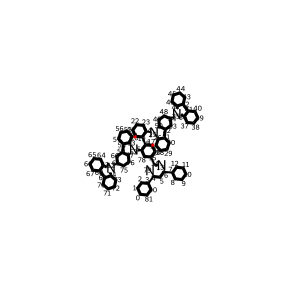 c1ccc(-c2cc(-c3ccccc3)nc(-c3ccc(-c4ccccc4-n4c5ccccc5c5cc(-n6c7ccccc7c7ccccc76)ccc54)c(-n4c5ccccc5c5cc(-n6c7ccccc7c7ccccc76)ccc54)c3)n2)cc1